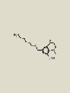 COc1cc(COCCCCCN)cc2c1N(C)CCN2